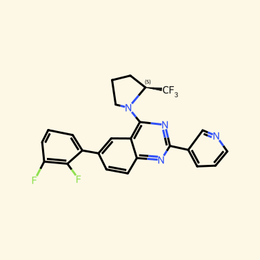 Fc1cccc(-c2ccc3nc(-c4cccnc4)nc(N4CCC[C@H]4C(F)(F)F)c3c2)c1F